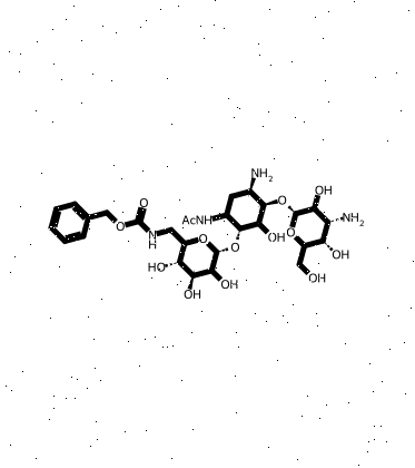 CC(=O)NC1C[C@@H](N)[C@@H](O[C@H]2OC(CO)[C@@H](O)[C@@H](N)C2O)C(O)[C@@H]1O[C@H]1OC(CNC(=O)OCc2ccccc2)[C@@H](O)[C@H](O)C1O